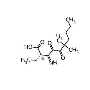 CCCCC(C)(C)C(=O)C(=O)C(=N)[C@H](CC)C(=O)O